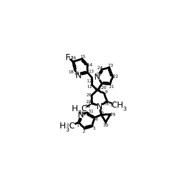 Cc1ccc(C2(N3[C@H](C)CC(CCc4ccc(F)cn4)(c4ccccn4)C[C@@H]3C)CC2)cn1